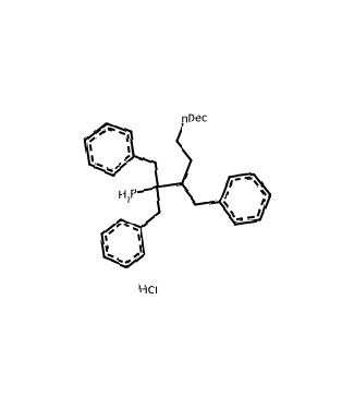 CCCCCCCCCCCCC(Cc1ccccc1)C(P)(Cc1ccccc1)Cc1ccccc1.Cl